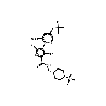 CCc1nc(C(=O)NC[C@H]2CC[C@H](S(C)(=O)=O)CC2)c(C#N)n1-c1ncc(CC(C)(C)C(F)(F)F)cc1OC